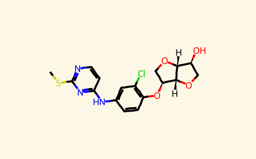 CSc1nccc(Nc2ccc(O[C@H]3CO[C@H]4[C@@H]3OC[C@@H]4O)c(Cl)c2)n1